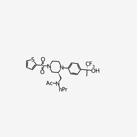 CCCN(C[C@H]1CN(S(=O)(=O)c2cccs2)CCN1c1ccc([C@](C)(O)C(F)(F)F)cc1)C(C)=O